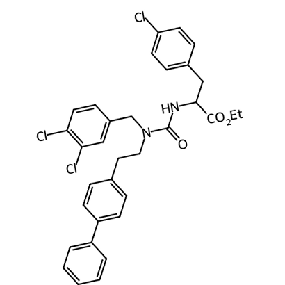 CCOC(=O)C(Cc1ccc(Cl)cc1)NC(=O)N(CCc1ccc(-c2ccccc2)cc1)Cc1ccc(Cl)c(Cl)c1